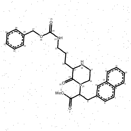 COC(=O)C(Cc1ccc2ccccc2c1)N1CCNC(CCCNC(=O)OCc2ccccc2)C1=O